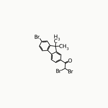 CC1(C)c2cc(Br)ccc2-c2ccc(C(=O)C(Br)Br)cc21